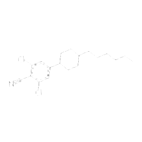 CCCCCCC1CCC(c2cc(Cl)c(C#N)c(Cl)c2)CC1